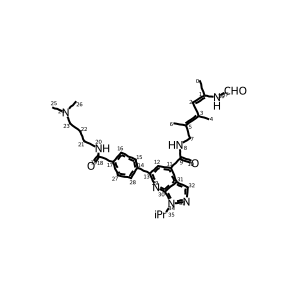 C/C(=C/C(C)=C(\C)CNC(=O)c1cc(-c2ccc(C(=O)NCCCN(C)C)cc2)nc2c1cnn2C(C)C)NC=O